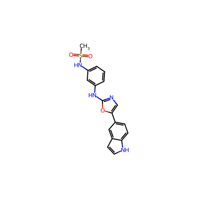 CS(=O)(=O)Nc1cccc(Nc2ncc(-c3ccc4[nH]ccc4c3)o2)c1